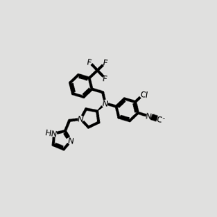 [C-]#[N+]c1ccc(N(Cc2ccccc2C(F)(F)F)[C@H]2CCN(Cc3ncc[nH]3)C2)cc1Cl